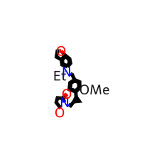 CCN(Cc1ccc(C2CC2CN2C(=O)CCC2=O)c(OC)c1)c1ccc2c(c1)CCO2